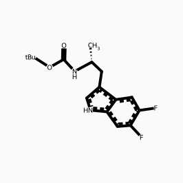 C[C@H](Cc1c[nH]c2cc(F)c(F)cc12)NC(=O)OC(C)(C)C